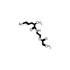 C=CC(=O)OCCNC(=O)C(C)C/C=C/C(C)=O